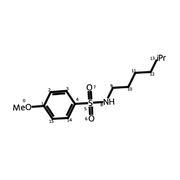 COc1ccc(S(=O)(=O)NCCCCC(C)C)cc1